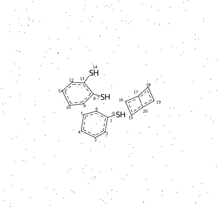 Sc1ccccc1.Sc1ccccc1S.c1cc2ccc1-2